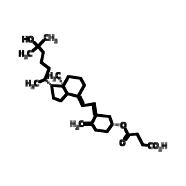 C=C1CC[C@@H](OC(=O)CCC(=O)O)C/C1=C/C=C1\CCC[C@@]2(C)C1CC[C@@H]2C(C)CCCC(C)(C)O